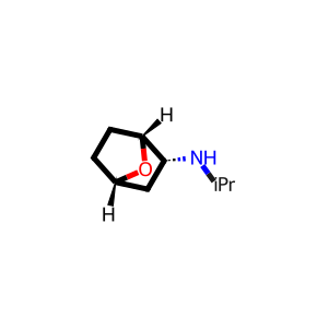 CC(C)N[C@@H]1C[C@@H]2CC[C@H]1O2